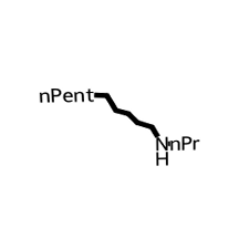 [CH2]CCNCCCCCCCCCC